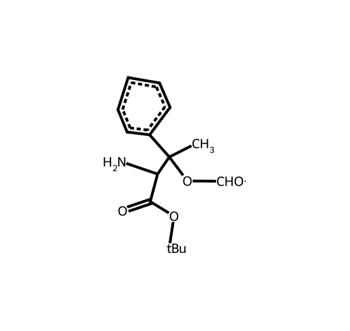 CC(C)(C)OC(=O)C(N)C(C)(O[C]=O)c1ccccc1